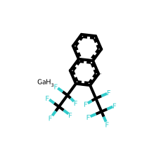 FC(F)(F)C(F)(F)c1[c]c2ccccc2cc1C(F)(F)C(F)(F)F.[GaH3]